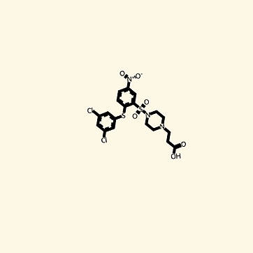 O=C(O)CCN1CCN(S(=O)(=O)c2cc([N+](=O)[O-])ccc2Sc2cc(Cl)cc(Cl)c2)CC1